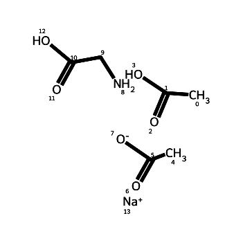 CC(=O)O.CC(=O)[O-].NCC(=O)O.[Na+]